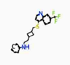 FC(F)(F)c1ccc2c(SCC3CC(CCNc4ccccc4)C3)ccnc2c1